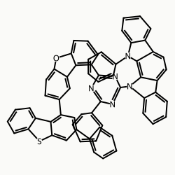 c1ccc(-c2cc(-c3ccc4oc5cccc(-c6nc(-c7ccccc7)nc(-n7c8ccccc8c8ccc9c%10ccccc%10n(-c%10ccccc%10)c9c87)n6)c5c4c3)c3c(c2)sc2ccccc23)cc1